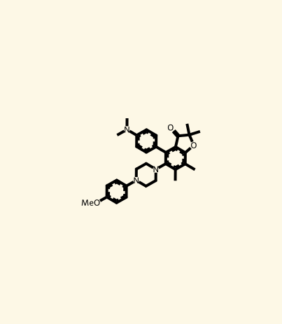 COc1ccc(N2CCN(c3c(C)c(C)c4c(c3-c3ccc(N(C)C)cc3)C(=O)C(C)(C)O4)CC2)cc1